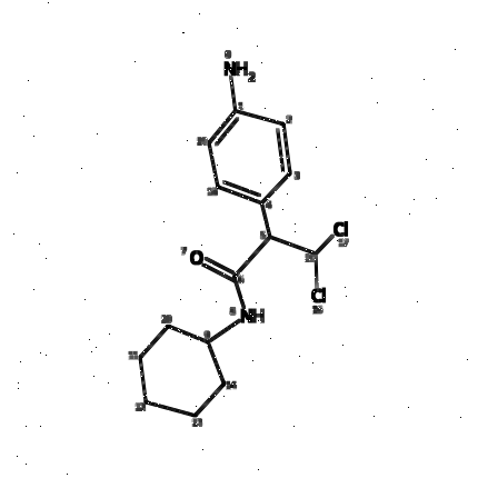 Nc1ccc(C(C(=O)NC2CCCCC2)C(Cl)Cl)cc1